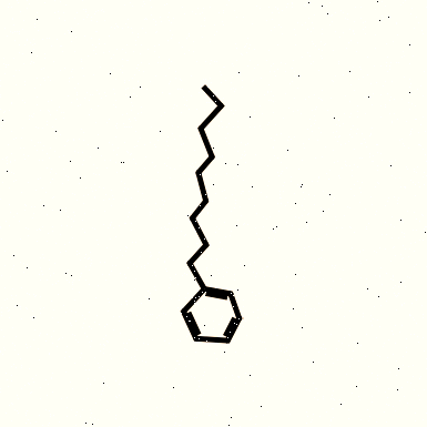 CCCCCCCCCc1c[c]ccc1